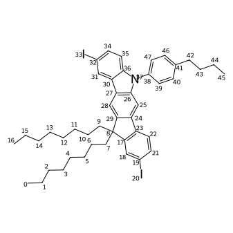 CCCCCCCCC1(CCCCCCCC)c2cc(I)ccc2-c2cc3c(cc21)c1cc(I)ccc1n3-c1ccc(CCCC)cc1